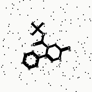 CC(C)(C)OC(=O)N1CC(=O)OC=C1c1ccccc1